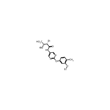 CCOc1cc(Oc2ncc(NC(=O)[C@@H](CC)N(C(=O)O)C(C)(C)C)cn2)ccc1C